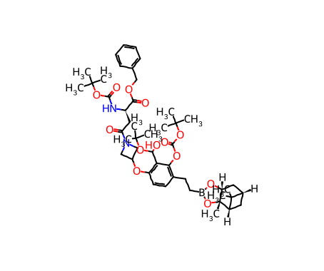 CC(C)(C)OC(=O)N[C@H](CC(=O)N1CC(Oc2ccc(CCB3O[C@@H]4C[C@@H]5C[C@@H](C5(C)C)[C@]4(C)O3)c(OC(=O)OC(C)(C)C)c2C(O)OC(C)(C)C)C1)C(=O)OCc1ccccc1